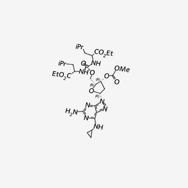 CCOC(=O)C(CC(C)C)NP(=O)(NC(CC(C)C)C(=O)OCC)OC[C@H]1O[C@@H](n2cnc3c(NC4CC4)nc(N)nc32)C[C@H]1OC(=O)OC